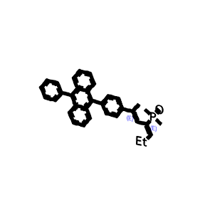 CC/C=C(\C=C(/C)c1ccc(-c2c3ccccc3c(-c3ccccc3)c3ccccc23)cc1)P(C)(C)=O